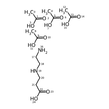 CC(=O)O.CC(=O)O.CC(=O)O.CC(=O)O.NCCNCCC(=O)O